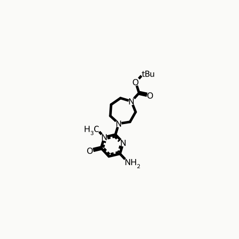 Cn1c(N2CCCN(C(=O)OC(C)(C)C)CC2)nc(N)cc1=O